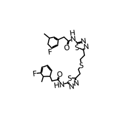 CC1C=C(CC(=O)Nc2nnc(CCSCCc3nnc(NC(=O)CC4C=CC=C(F)C4C)s3)s2)C=C(F)C1